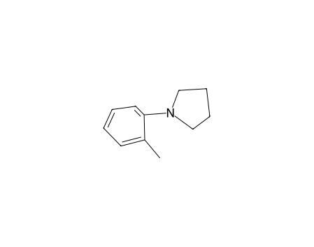 Cc1ccccc1N1CCCC1